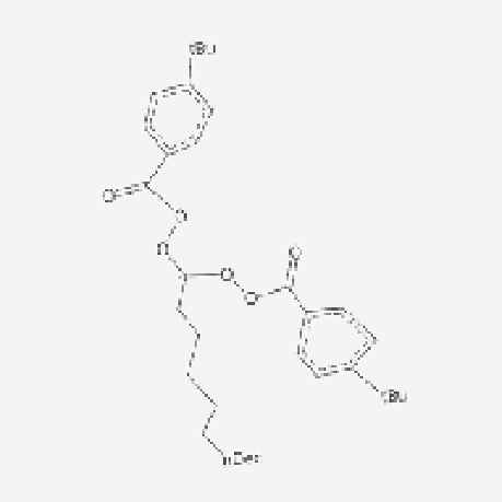 [CH2]CCCCCCCCCCCCCC[C](OOC(=O)c1ccc(C(C)(C)C)cc1)OOC(=O)c1ccc(C(C)(C)C)cc1